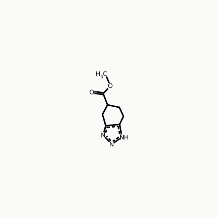 COC(=O)C1CCc2[nH]nnc2C1